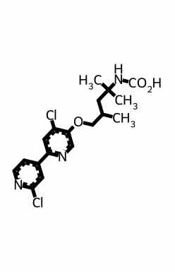 CC(COc1cnc(-c2ccnc(Cl)c2)cc1Cl)CC(C)(C)NC(=O)O